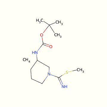 C.CSC(=N)N1CCCC(NC(=O)OC(C)(C)C)C1